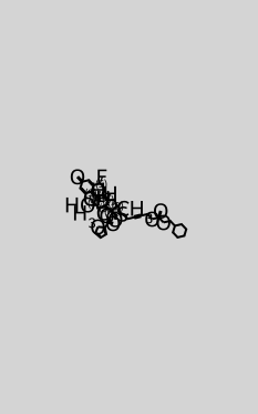 C[C@@H]1C[C@H]2[C@@H]3C[C@H](F)C4=CC(=O)C=C[C@]4(C)[C@@]3(F)[C@@H](O)C[C@]2(C)[C@@]1(OC(=O)c1ccco1)C(=O)SCC#CCOC(=O)OCC1CCCCC1